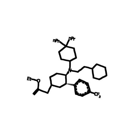 C=C(CC1CC[C@@H](N(CCC2CCCCC2)C2CCC(CCC)(CCC)CC2)[C@H](c2ccc(C(F)(F)F)cc2)C1)OCC